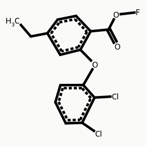 CCc1ccc(C(=O)OF)c(Oc2cccc(Cl)c2Cl)c1